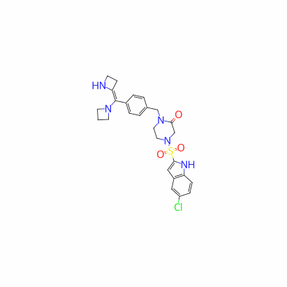 O=C1CN(S(=O)(=O)c2cc3cc(Cl)ccc3[nH]2)CCN1Cc1ccc(/C(=C2\CCN2)N2CCC2)cc1